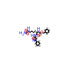 NS(=O)(=O)NCCCC[C@H](NC(=O)OCc1ccccc1)C(=O)Nc1cc(-c2ccccc2)no1